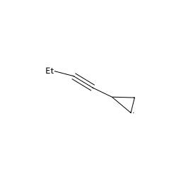 CCC#CC1[CH]C1